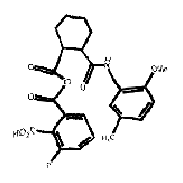 COc1ccc(C)cc1NC(=O)C1CCCCC1C(=O)OC(=O)c1cccc(F)c1C(=O)O